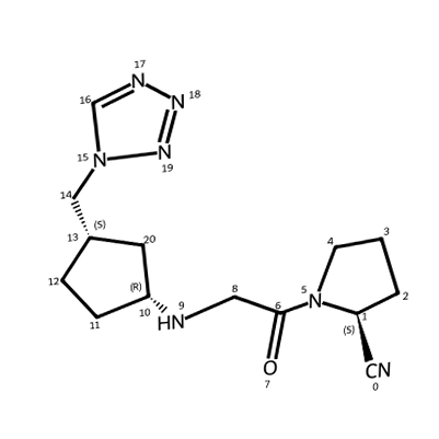 N#C[C@@H]1CCCN1C(=O)CN[C@@H]1CC[C@H](Cn2cnnn2)C1